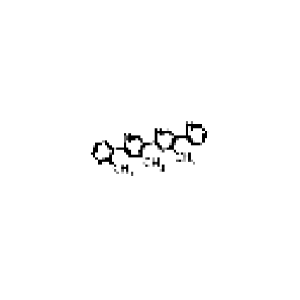 Cc1ccccc1-c1cc(C)c(-c2cc(C)c(-c3ccccn3)cn2)cn1